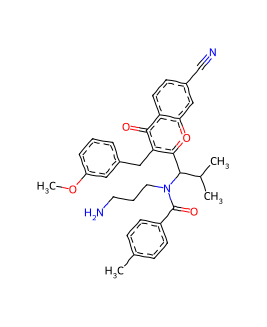 COc1cccc(Cc2c(C(C(C)C)N(CCCN)C(=O)c3ccc(C)cc3)oc3cc(C#N)ccc3c2=O)c1